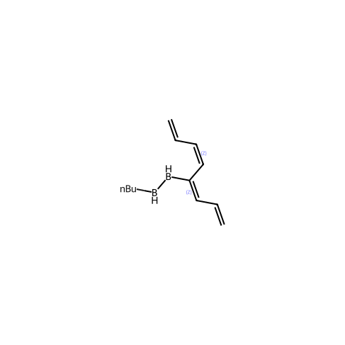 C=C/C=C\C(BBCCCC)=C/C=C